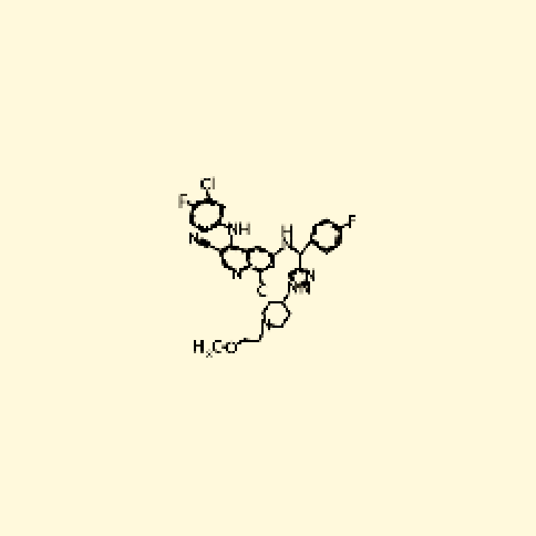 COCCN1CCC(n2cc(C(Nc3cc(Cl)c4ncc(C#N)c(Nc5ccc(F)c(Cl)c5)c4c3)c3ccc(F)cc3)nn2)CC1